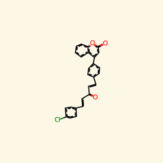 O=C(C=Cc1ccc(Cl)cc1)C=Cc1ccc(-c2cc(=O)oc3ccccc23)cc1